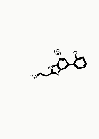 Cl.Cl.NCCc1nc2cc(-c3ccccc3Cl)ccc2[nH]1